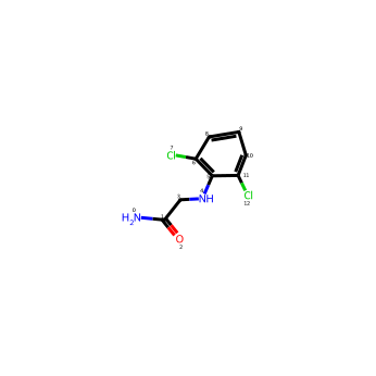 NC(=O)CNc1c(Cl)cccc1Cl